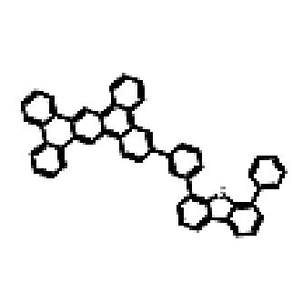 c1ccc(-c2cccc3c2sc2c(-c4cccc(-c5ccc6c(c5)c5ccccc5c5cc7c8ccccc8c8ccccc8c7cc65)c4)cccc23)cc1